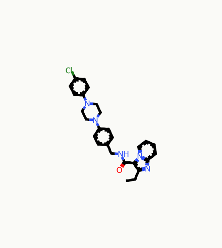 CCc1nc2ccccn2c1C(=O)NCc1ccc(N2CCN(c3ccc(Cl)cc3)CC2)cc1